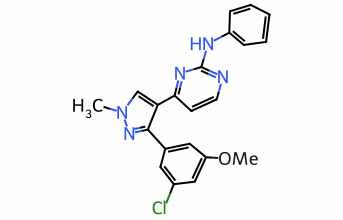 COc1cc(Cl)cc(-c2nn(C)cc2-c2ccnc(Nc3ccccc3)n2)c1